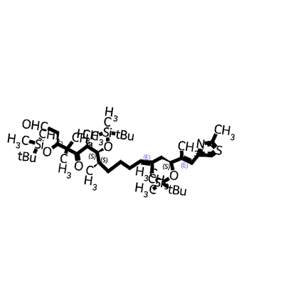 C/C(=C\CCC[C@H](C)[C@H](O[Si](C)(C)C(C)(C)C)[C@@H](C)C(=O)C(C)(C)[C@H](CC=O)O[Si](C)(C)C(C)(C)C)C[C@H](O[Si](C)(C)C(C)(C)C)/C(C)=C/c1csc(C)n1